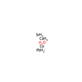 O.[CaH2].[Cu].[PbH2].[SrH2]